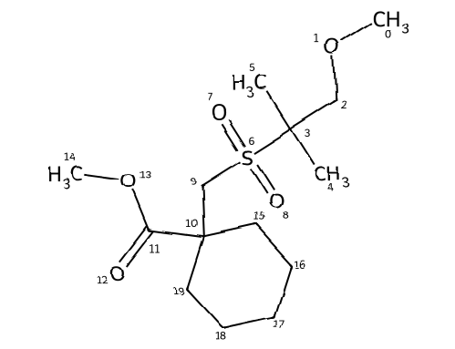 COCC(C)(C)S(=O)(=O)CC1(C(=O)OC)CCCCC1